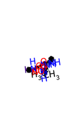 CC(C)C[C@H](CC(=O)N[C@@H](Cc1c[nH]c2ccccc12)C(=O)NCCOCCC(=O)NCc1ccc(I)cc1)C(=O)NO